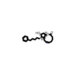 O=C1CCC/C=C\C[C@@H]2[C@@H](CCCCCc3ccccc3)[C@H](O)C[C@@H]2O1